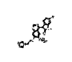 COc1cc2c(C3C(=O)Nc4cc(Br)ccc43)ncnc2cc1OCCn1ccnc1.Cl.Cl